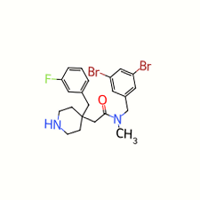 CN(Cc1cc(Br)cc(Br)c1)C(=O)CC1(Cc2cccc(F)c2)CCNCC1